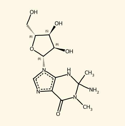 CN1C(=O)c2ncn([C@@H]3O[C@H](CO)[C@@H](O)[C@H]3O)c2NC1(C)N